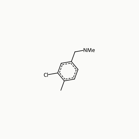 CNCc1ccc(C)c(Cl)c1